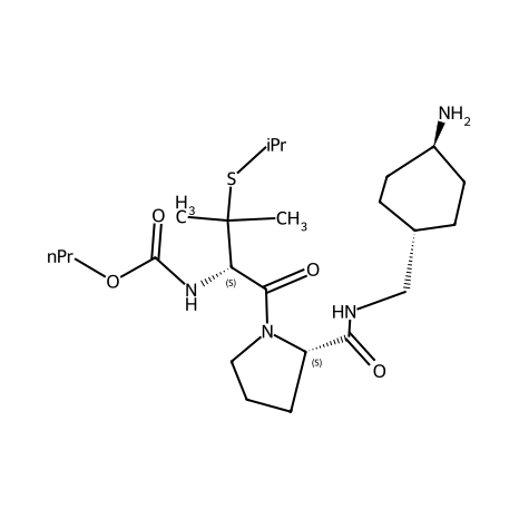 CCCOC(=O)N[C@@H](C(=O)N1CCC[C@H]1C(=O)NC[C@H]1CC[C@H](N)CC1)C(C)(C)SC(C)C